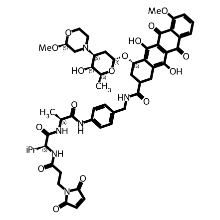 COc1cccc2c1C(=O)c1c(O)c3c(c(O)c1C2=O)CC(C(=O)NCc1ccc(NC(=O)[C@H](C)NC(=O)[C@@H](NC(=O)CCN2C(=O)C=CC2=O)C(C)C)cc1)C[C@@H]3O[C@H]1C[C@H](N2CCO[C@H](OC)C2)[C@H](O)[C@H](C)O1